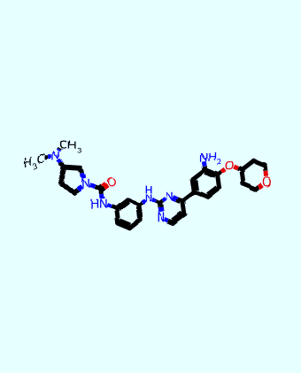 CN(C)C1CCN(C(=O)Nc2cccc(Nc3nccc(-c4ccc(OC5CCOCC5)c(N)c4)n3)c2)C1